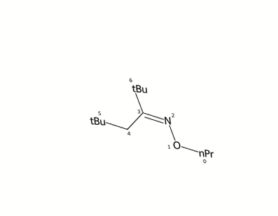 CCCON=C(CC(C)(C)C)C(C)(C)C